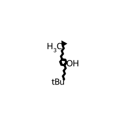 CC(C)(C)CCCCCc1ccc(CCCCC2(C)CC2)cc1O